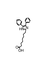 O=C(O)CCCCCCCc1nc(-c2ccccc2)c(-c2ccccc2)[nH]1